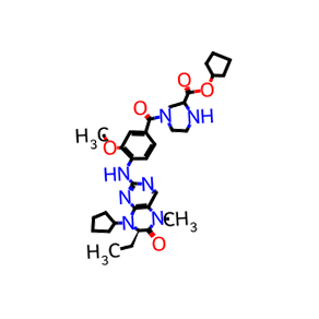 CC[C@@H]1C(=O)N(C)c2cnc(Nc3ccc(C(=O)N4CCNC(C(=O)OC5CCCC5)C4)cc3OC)nc2N1C1CCCC1